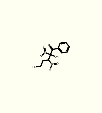 O=C(c1ccccc1)C(O)(C(CCO)[N+](=O)[O-])[N+](=O)[O-]